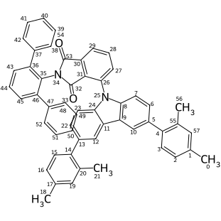 Cc1ccc(-c2ccc3c(c2)c2cc(-c4ccc(C)cc4C)ccc2n3-c2cccc3c2C(=O)N(c2c(-c4ccccc4)cccc2-c2ccccc2)C3=O)c(C)c1